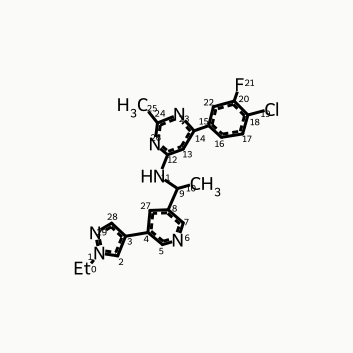 CCn1cc(-c2cncc(C(C)Nc3cc(-c4ccc(Cl)c(F)c4)nc(C)n3)c2)cn1